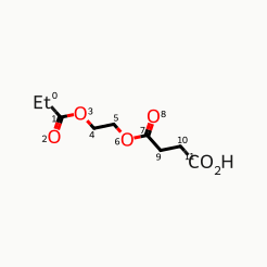 CCC(=O)OCCOC(=O)CCC(=O)O